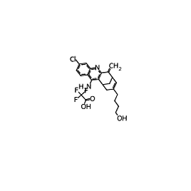 C=C1c2nc3cc(Cl)ccc3c(N)c2C2CC(CCCCO)=CC1C2.O=C(O)C(F)(F)F